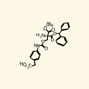 CC(C)(C)OC(=O)[C@@](N)(COC(=O)Nc1ccc(CC(=O)O)cc1)C(=O)OC(c1ccccc1)c1ccccc1